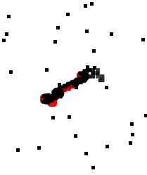 C=Cc1ccc(CCCCCCCCCCc2ccc(/C=C/C(=O)c3ccccc3)cc2)cc1